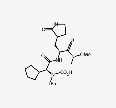 CON(C)C(=O)[C@H](CC1CCNC1=O)NC(=O)[C@H](C1CCCC1)N(C(=O)O)C(C)(C)C